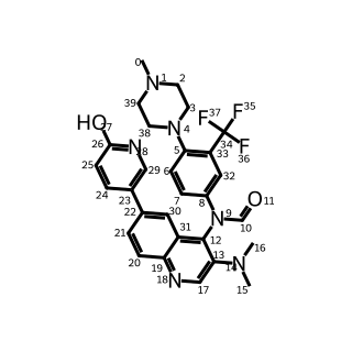 CN1CCN(c2ccc(N(C=O)c3c(N(C)C)cnc4ccc(-c5ccc(O)nc5)cc34)cc2C(F)(F)F)CC1